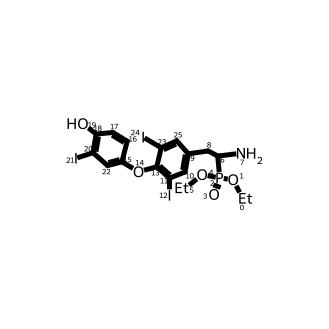 CCOP(=O)(OCC)C(N)Cc1cc(I)c(Oc2ccc(O)c(I)c2)c(I)c1